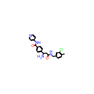 Cc1ccc(CNC(=O)CC(N)c2ccc(C(=O)Nc3ccncc3)cc2)cc1Cl